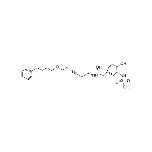 CS(=O)(=O)Nc1cc(CC(O)NCCC#CCCOCCCCc2ccccc2)ccc1O